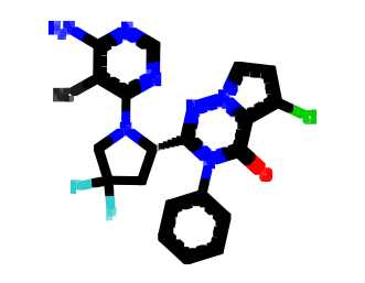 N#Cc1c(N)ncnc1N1CC(F)(F)C[C@H]1c1nn2ccc(Cl)c2c(=O)n1-c1ccccc1